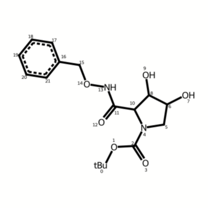 CC(C)(C)OC(=O)N1CC(O)C(O)C1C(=O)NOCc1ccccc1